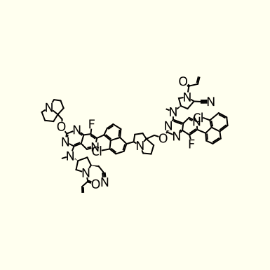 C=CC(=O)N1C[C@H](N(C)c2nc(OCC34CCCN3C(c3ccc(Cl)c5c(-c6ncc7c(N(C)[C@@H]8C[C@@H](CC#N)N(C(=O)C=C)C8)nc(OCC89CCCN8CCC9)nc7c6F)cccc35)CC4)nc3c(F)c(-c4cccc5cccc(Cl)c45)ncc23)CC1C#N